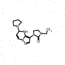 O=C1N(CC(F)(F)F)CCN1c1cnn2c1NC(N1CCCC1)C=C2